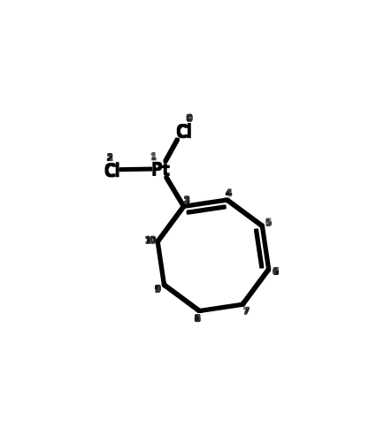 [Cl][Pt]([Cl])[C]1=CC=CCCCC1